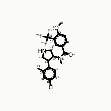 COc1ccc(C(=O)N(C)C2CNCC2c2ccc(Cl)cc2C)cc1C(F)(F)F